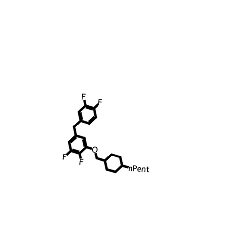 CCCCCC1CCC(COc2cc(Cc3ccc(F)c(F)c3)cc(F)c2F)CC1